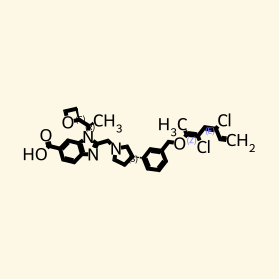 C=C/C(Cl)=C\C(Cl)=C(/C)OCc1cccc([C@@H]2CCN(Cc3nc4ccc(C(=O)O)cc4n3[C@H](C)[C@@H]3CCO3)C2)c1